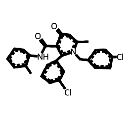 Cc1ccccc1NC(=O)c1c(-c2cccc(Cl)c2)n(Cc2ccc(Cl)cc2)c(C)cc1=O